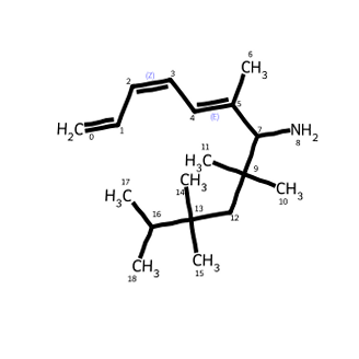 C=C/C=C\C=C(/C)C(N)C(C)(C)CC(C)(C)C(C)C